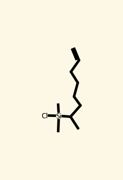 C=CCCCCC(C)[Si](C)(C)Cl